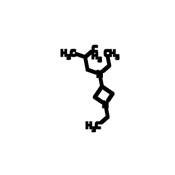 CCN1CC(N(CC)CC(C)C)C1